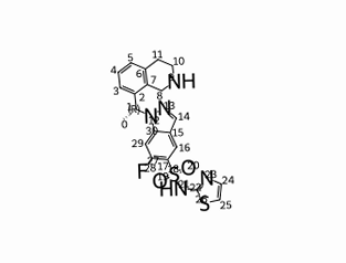 C[C@H](c1cccc2c1CNCC2)n1ncc2cc(S(=O)(=O)Nc3nccs3)c(F)cc21